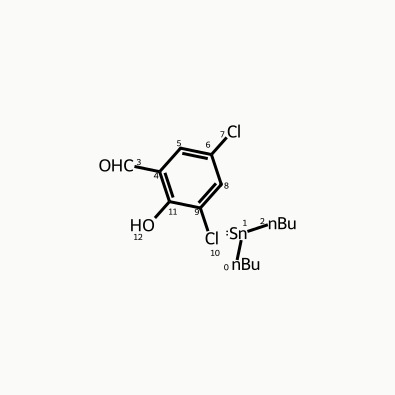 CCC[CH2][Sn][CH2]CCC.O=Cc1cc(Cl)cc(Cl)c1O